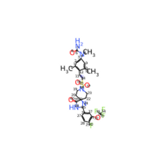 Cc1cc(N(C)C(N)=O)cc(C)c1/C=C/S(=O)(=O)N1CCC2(CC1)N=C(c1ccc(F)c(OC(F)(F)F)c1)NC2=O